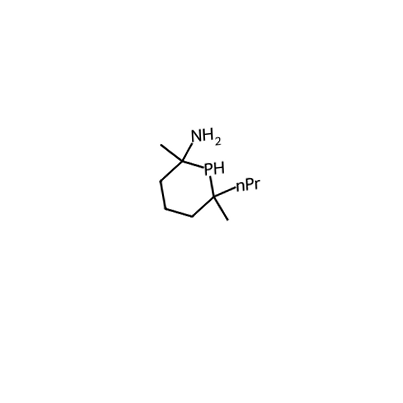 CCCC1(C)CCCC(C)(N)P1